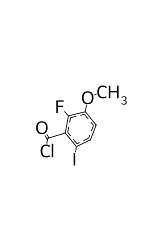 COc1ccc(I)c(C(=O)Cl)c1F